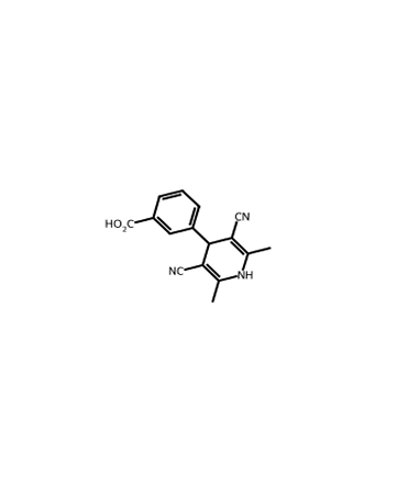 CC1=C(C#N)C(c2cccc(C(=O)O)c2)C(C#N)=C(C)N1